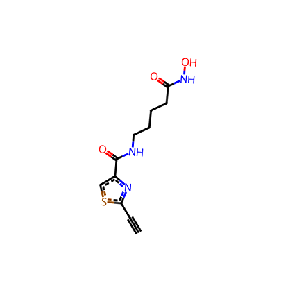 C#Cc1nc(C(=O)NCCCCC(=O)NO)cs1